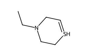 CCN1CC=[SH]CC1